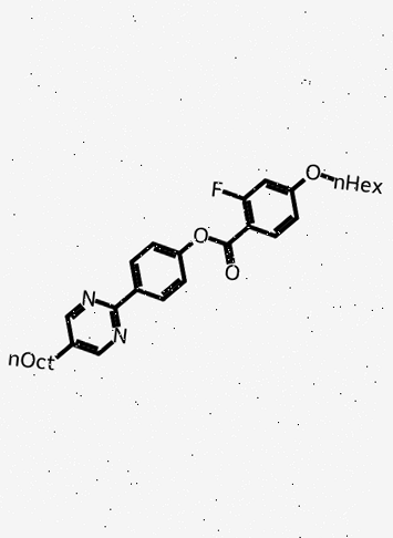 CCCCCCCCc1cnc(-c2ccc(OC(=O)c3ccc(OCCCCCC)cc3F)cc2)nc1